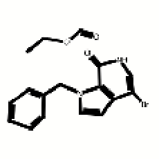 CCOC=O.O=c1[nH]cc(Br)c2ccn(Cc3ccccc3)c12